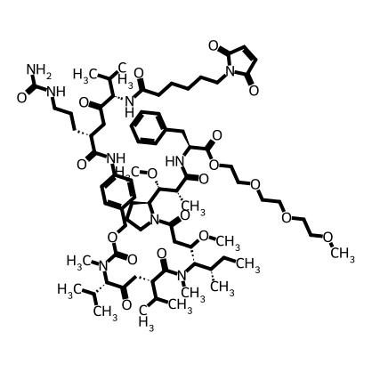 CC[C@H](C)[C@@H](C(CC(=O)N1CCC[C@H]1[C@H](OC)[C@@H](C)C(=O)N[C@@H](Cc1ccccc1)C(=O)OCCOCCOCCOC)OC)N(C)C(=O)[C@@H](CC(=O)[C@H](C(C)C)N(C)C(=O)OCc1ccc(NC(=O)[C@H](CCCNC(N)=O)CC(=O)[C@@H](NC(=O)CCCCCN2C(=O)C=CC2=O)C(C)C)cc1)C(C)C